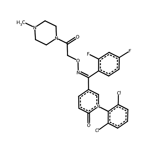 CN1CCN(C(=O)CON=C(c2ccc(=O)n(-c3c(Cl)cccc3Cl)c2)c2ccc(F)cc2F)CC1